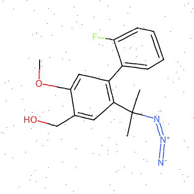 COc1cc(-c2ccccc2F)c(C(C)(C)N=[N+]=[N-])cc1CO